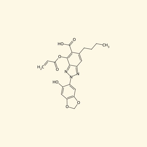 C=CC(=O)Oc1c(C(=O)O)c(CCCC)cc2nn(-c3cc4c(cc3O)OCO4)nc12